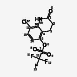 O=C1CCc2c(OS(=O)(=O)C(F)(F)F)ccc(Cl)c2N1